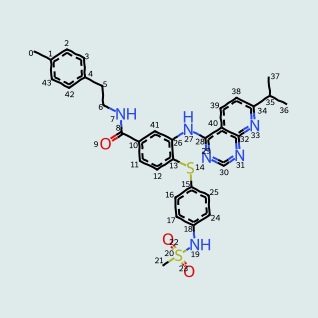 Cc1ccc(CCNC(=O)c2ccc(Sc3ccc(NS(C)(=O)=O)cc3)c(Nc3ncnc4nc(C(C)C)ccc34)c2)cc1